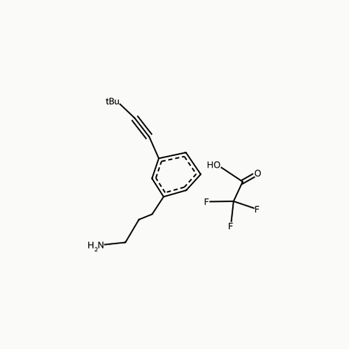 CC(C)(C)C#Cc1cccc(CCCN)c1.O=C(O)C(F)(F)F